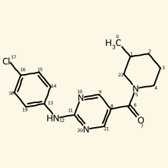 CC1CCCN(C(=O)c2cnc(Nc3ccc(Cl)cc3)nc2)C1